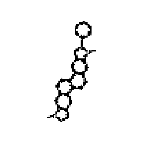 Cn1ccc2cc3c(ccc4c5cc6cc(-c7ccccc7)n(C)c6cc5ccc34)cc21